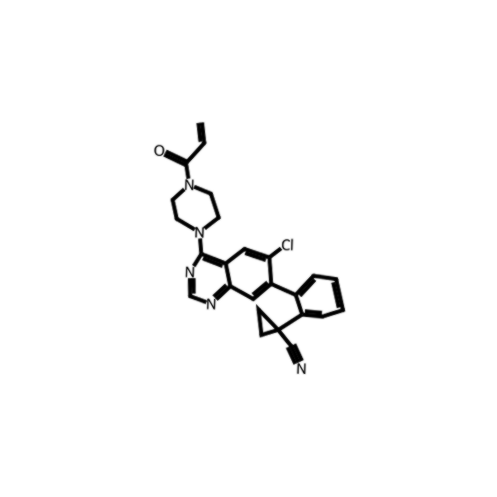 C=CC(=O)N1CCN(c2ncnc3cc(-c4ccccc4C4(C#N)CC4)c(Cl)cc23)CC1